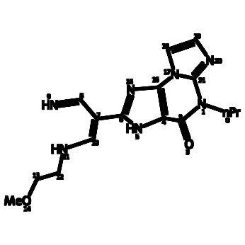 CCCn1c(=O)c2[nH]c(/C(C=N)=C/NCCOC)nc2n2ccnc12